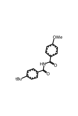 COc1ccc(C(=O)NC(=O)c2ccc(C(C)(C)C)cc2)cc1